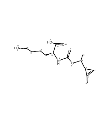 CC1=CC1C(C)OC(=O)N[C@@H](CCCCN)C(=O)O